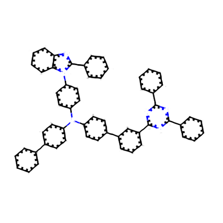 c1ccc(-c2ccc(N(c3ccc(-c4cccc(-c5nc(-c6ccccc6)nc(-c6ccccc6)n5)c4)cc3)c3ccc(-n4c(-c5ccccc5)nc5ccccc54)cc3)cc2)cc1